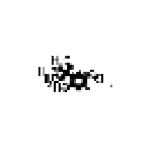 CCC(CC)(CC)c1cc(OC)ccc1O